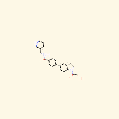 O=C(NCc1cccnc1)c1ccc(-c2ccc3c(c2)CCN3C(=O)CO)cc1